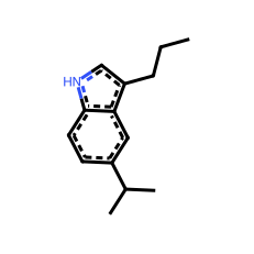 CCCc1c[nH]c2ccc(C(C)C)cc12